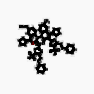 COc1ccc(N(C(=O)Nc2nc(CSc3ccccc3)c(S(C)(=O)=O)s2)N(C(=O)Nc2nc(CSc3ccccc3)c(S(C)(=O)=O)s2)c2ccc(C(F)(F)F)cc2C(=O)C2CCCC2)c(C(=O)C2CCCC2)c1